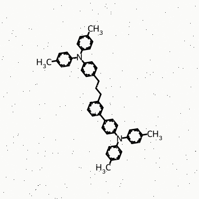 Cc1ccc(N(c2ccc(C)cc2)c2ccc(CCCc3cccc(-c4ccc(N(c5ccc(C)cc5)c5ccc(C)cc5)cc4)c3)cc2)cc1